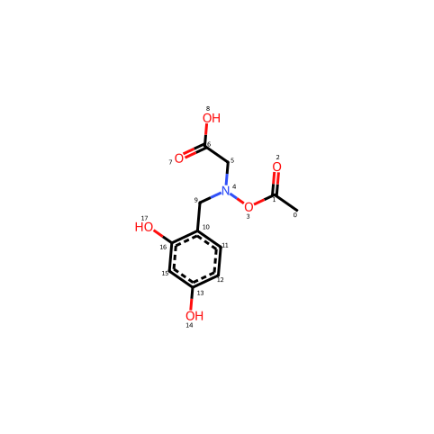 CC(=O)ON(CC(=O)O)Cc1ccc(O)cc1O